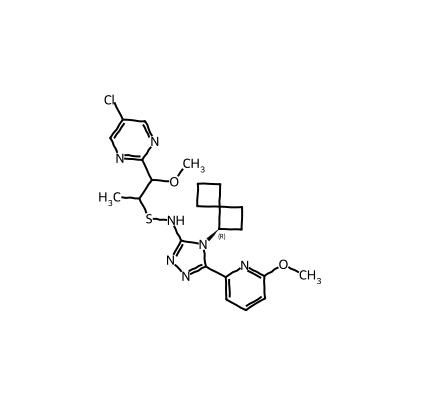 COc1cccc(-c2nnc(NSC(C)C(OC)c3ncc(Cl)cn3)n2[C@@H]2CCC23CCC3)n1